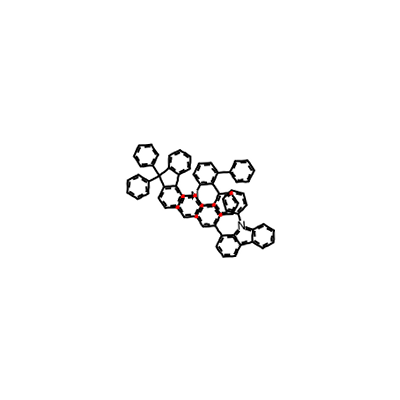 c1ccc(-c2ccccc2-c2c(-c3ccccc3)cccc2N(c2ccc(-c3cccc4c5ccccc5n(-c5ccccc5)c34)cc2)c2cccc3c2-c2ccccc2C3(c2ccccc2)c2ccccc2)cc1